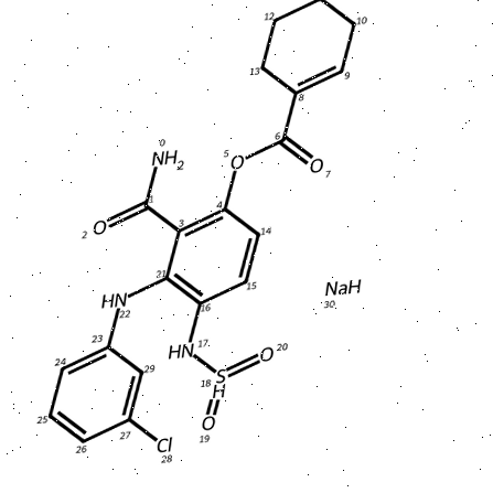 NC(=O)c1c(OC(=O)C2=CCCCC2)ccc(N[SH](=O)=O)c1Nc1cccc(Cl)c1.[NaH]